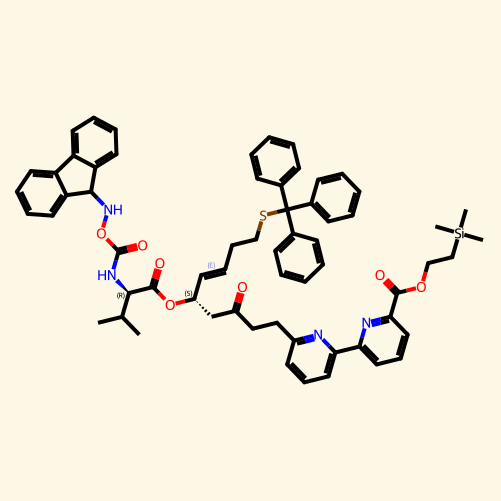 CC(C)[C@@H](NC(=O)ONC1c2ccccc2-c2ccccc21)C(=O)O[C@H](/C=C/CCSC(c1ccccc1)(c1ccccc1)c1ccccc1)CC(=O)CCc1cccc(-c2cccc(C(=O)OCC[Si](C)(C)C)n2)n1